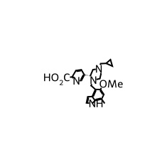 COc1cc(C)c2[nH]ccc2c1CN1CCN(CC2CC2)C[C@H]1c1ccc(C(=O)O)nc1